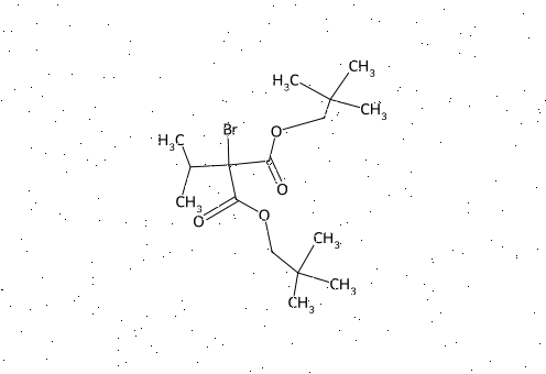 CC(C)C(Br)(C(=O)OCC(C)(C)C)C(=O)OCC(C)(C)C